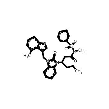 CCCC(CC(=O)N(C)S(=O)(=O)c1ccccc1)n1c(=O)n(Cc2csc3cccc(C)c23)c2ccccc21